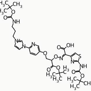 CC(C)(C)OC(=O)NCCC[n+]1ccn(-c2ccc(OCC(ON=C(C(=O)O)c3csc(NC(=O)OC(C)(C)C)n3)C(=O)OC(C)(C)C)cn2)c1